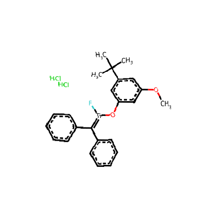 COc1cc([O][Ti]([F])=[C](c2ccccc2)c2ccccc2)cc(C(C)(C)C)c1.Cl.Cl